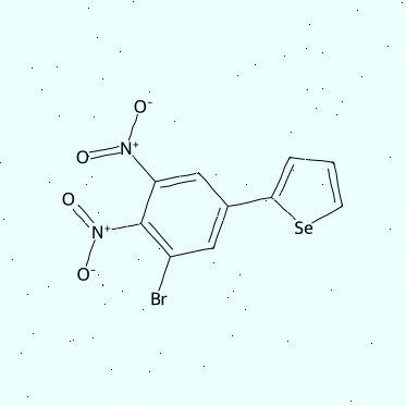 O=[N+]([O-])c1cc(-c2ccc[se]2)cc(Br)c1[N+](=O)[O-]